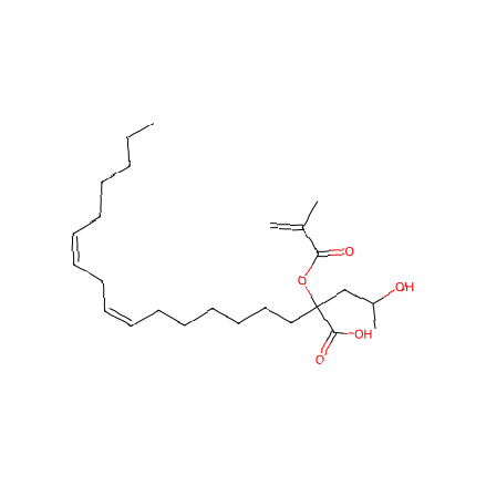 C=C(C)C(=O)OC(CCCCCC/C=C\C/C=C\CCCCC)(CC(C)O)C(=O)O